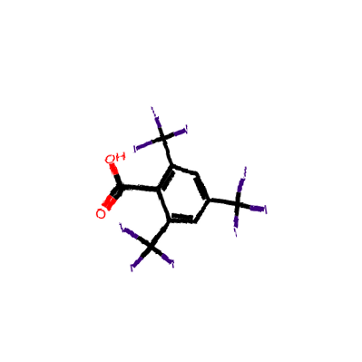 O=C(O)c1c(C(I)(I)I)cc(C(I)(I)I)cc1C(I)(I)I